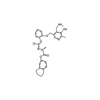 Cc1ncc(COc2ccccc2O[P+]([O-])=N[C@@H](C)C(=O)Oc2ccc3c(c2)CCCC3)c(CN)c1O